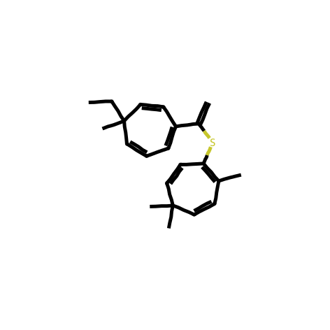 C=C(SC1=C(C)C=CC(C)(C)C=C1)C1=CC=CC(C)(CC)C=C1